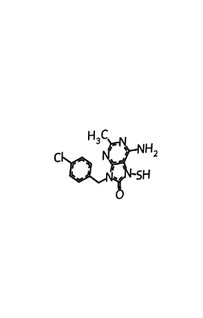 Cc1nc(N)c2c(n1)n(Cc1ccc(Cl)cc1)c(=O)n2S